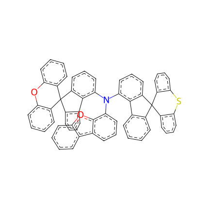 c1ccc2c(c1)Oc1ccccc1C21c2ccccc2-c2c(N(c3cccc4c3-c3ccccc3C43c4ccccc4Sc4ccccc43)c3cccc4c3oc3ccccc34)cccc21